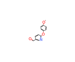 COc1ccc(Oc2ccc(C=O)cn2)cc1